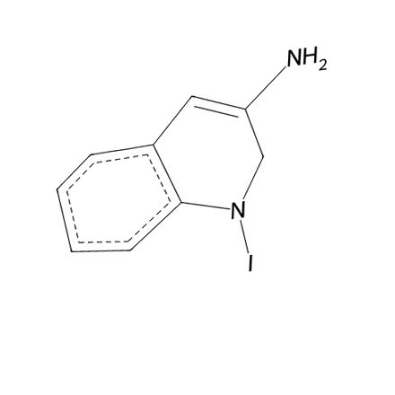 NC1=Cc2ccccc2N(I)C1